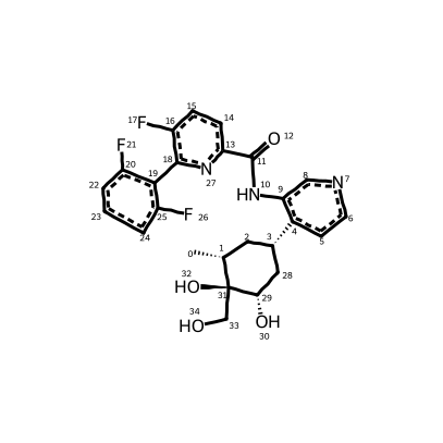 C[C@@H]1C[C@H](c2ccncc2NC(=O)c2ccc(F)c(-c3c(F)cccc3F)n2)C[C@H](O)[C@]1(O)CO